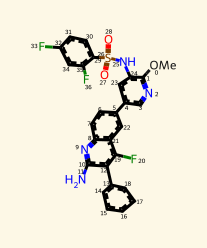 COc1ncc(-c2ccc3nc(N)c(-c4ccccc4)c(F)c3c2)cc1NS(=O)(=O)c1ccc(F)cc1F